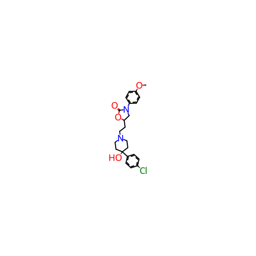 COc1ccc(N2CC(CCN3CCC(O)(c4ccc(Cl)cc4)CC3)OC2=O)cc1